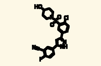 N#Cc1cc(-c2cc(-c3ccc(Cl)c(S(=O)(=O)N4CCC(O)CC4)c3)n[nH]2)ccc1F